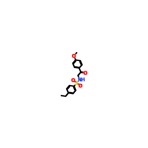 CCc1ccc(S(=O)(=O)NCC(=O)c2ccc(OC)cc2)cc1